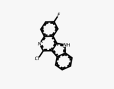 Fc1ccc2nc(Cl)c3c4ccccc4[nH]c3c2c1